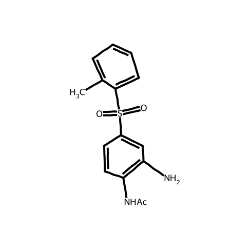 CC(=O)Nc1ccc(S(=O)(=O)c2ccccc2C)cc1N